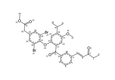 CCC(=O)/C=C/c1cccc(C(=O)c2cc(OC)c(C(C)C)cc2Oc2c(Br)cc(CC(=O)OC)cc2Br)c1